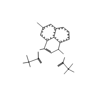 Nc1cc2c3c(cccc3c1)C(OC(=O)C(F)(F)F)C=C2OC(=O)C(F)(F)F